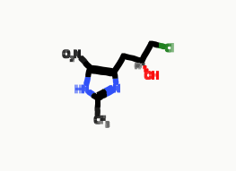 O=[N+]([O-])c1[nH]c(C(F)(F)F)nc1C[C@@H](O)CCl